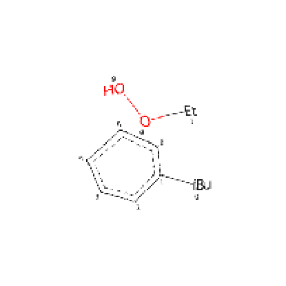 CCC(C)c1ccccc1.CCOO